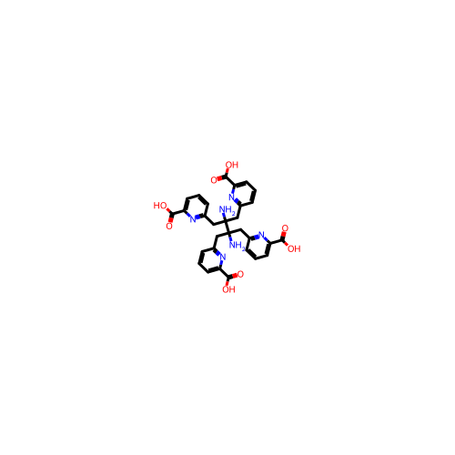 NC(Cc1cccc(C(=O)O)n1)(Cc1cccc(C(=O)O)n1)C(N)(Cc1cccc(C(=O)O)n1)Cc1cccc(C(=O)O)n1